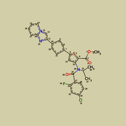 COC(=O)c1sc(-c2ccc(-c3cn4ccccc4n3)cc2)cc1N(C(=O)c1ccc(Cl)cc1F)C(C)C